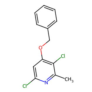 Cc1nc(Cl)cc(OCc2ccccc2)c1Cl